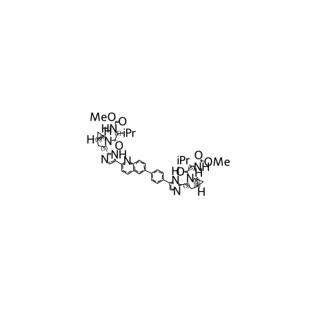 COC(=O)N[C@H](C(=O)N1[C@@H]2C[C@@H]2C[C@H]1c1ncc(-c2ccc(-c3ccc4nc(-c5cnc([C@@H]6C[C@H]7C[C@H]7N6C(=O)[C@@H](NC(=O)OC)C(C)C)[nH]5)ccc4c3)cc2)[nH]1)C(C)C